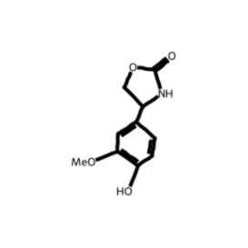 COc1cc(C2COC(=O)N2)ccc1O